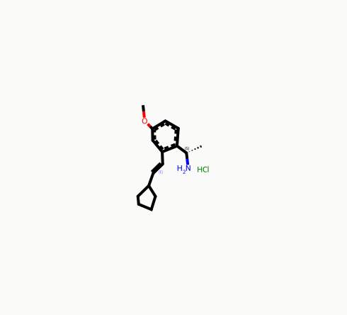 COc1ccc([C@H](C)N)c(/C=C/C2CCCC2)c1.Cl